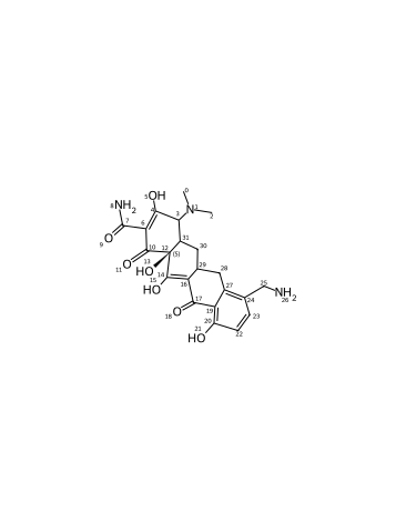 CN(C)C1C(O)=C(C(N)=O)C(=O)[C@@]2(O)C(O)=C3C(=O)c4c(O)ccc(CN)c4CC3CC12